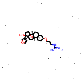 C[C@]12CCC(OCCCNC(=N)N)CC1CC[C@@H]1[C@H]2CC[C@]2(C)C(O)(c3ccoc3)CC[C@@]12O